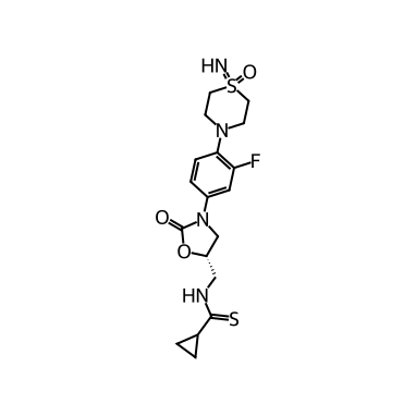 N=S1(=O)CCN(c2ccc(N3C[C@H](CNC(=S)C4CC4)OC3=O)cc2F)CC1